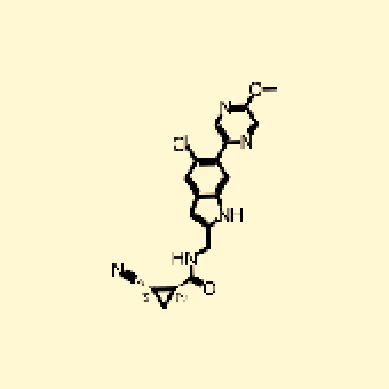 COc1cnc(-c2cc3[nH]c(CNC(=O)[C@H]4C[C@@H]4C#N)cc3cc2Cl)cn1